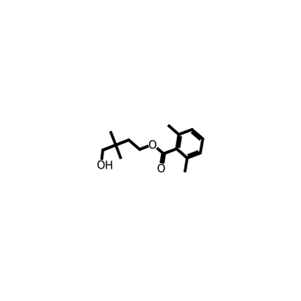 Cc1cccc(C)c1C(=O)OCCC(C)(C)CO